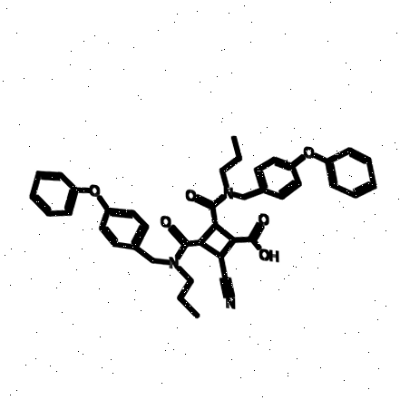 CCCN(Cc1ccc(Oc2ccccc2)cc1)C(=O)C1C(C#N)C(C(=O)O)C1C(=O)N(CCC)Cc1ccc(Oc2ccccc2)cc1